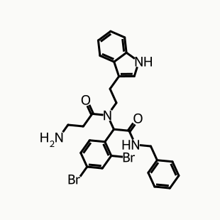 NCCC(=O)N(CCc1c[nH]c2ccccc12)C(C(=O)NCc1ccccc1)c1ccc(Br)cc1Br